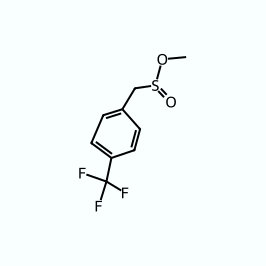 COS(=O)Cc1ccc(C(F)(F)F)cc1